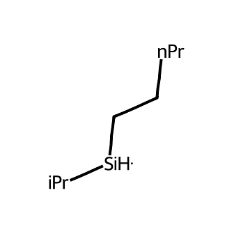 CCCCC[SiH]C(C)C